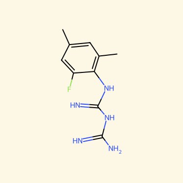 Cc1cc(C)c(NC(=N)NC(=N)N)c(F)c1